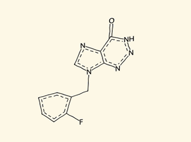 O=c1[nH]nnc2c1ncn2Cc1ccccc1F